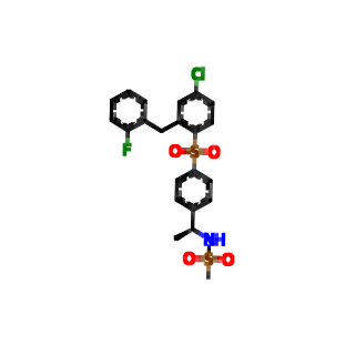 C[C@H](NS(C)(=O)=O)c1ccc(S(=O)(=O)c2ccc(Cl)cc2Cc2ccccc2F)cc1